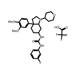 COc1ccc(C23CCC(NC(=O)Nc4cccc(F)c4)CC2N(C2CCOCC2)CC3)cc1OC.O=C(O)C(F)(F)F